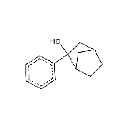 OC1(c2ccccc2)CC2CCC1C2